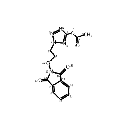 CC(=O)Oc1nnn(CCON2C(=O)c3ccccc3C2=O)n1